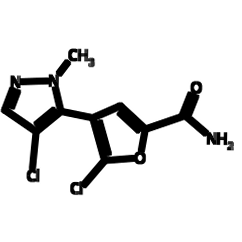 Cn1ncc(Cl)c1-c1cc(C(N)=O)oc1Cl